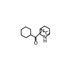 O=C(C1CCCCC1)N1CC2CCC1CN2